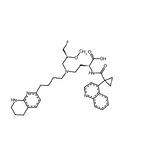 CO[C@H](CF)CN(CCCCc1ccc2c(n1)NCCC2)CC[C@H](NC(=O)C1(c2ccnc3ccccc23)CC1)C(=O)O